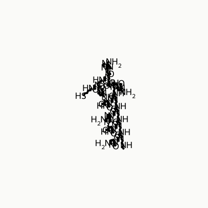 CCNCCN(CC(=O)NCCN(CC(=O)NCCN(CC(=O)NCCN(CC(=O)NCCN(CC(=O)NCCN(CC(=O)NCCN(CC(=O)NCCCCS)C(=O)Cn1ccc(N)nc1=O)C(=O)Cn1cnc2c(N)ncnc21)C(=O)Cn1ccc(N)nc1=O)C(=O)Cn1cc(C)c(=O)[nH]c1=O)C(=O)Cn1cnc2c(N)ncnc21)C(=O)Cn1cc(C)c(=O)[nH]c1=O)C(=O)Cn1ccc(N)nc1=O